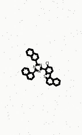 Clc1ccc2c(sc3ccc4ccccc4c32)c1-c1nc(-c2ccc3ccccc3c2)nc(-c2cccc3ccccc23)n1